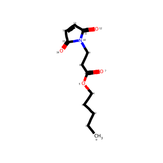 CCCCCOC(=O)CCN1C(=O)C=CC1=O